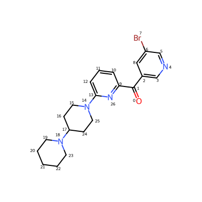 O=C(c1cncc(Br)c1)c1cccc(N2CCC(N3CCCCC3)CC2)n1